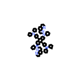 c1ccc(N(c2ccccc2)c2ccc(-c3c4ccc(N(c5ccccc5)c5ccc6ccc7cccnc7c6n5)cc4c(-c4ccc(N(c5ccccc5)c5ccccc5)cc4)c4ccc(N(c5ccccc5)c5ccc6ccc7cccnc7c6n5)cc34)cc2)cc1